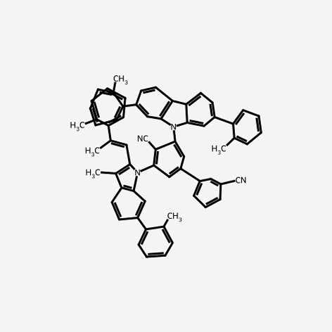 C/C(=C\c1c(C)c2ccc(-c3ccccc3C)cc2n1-c1cc(-c2cccc(C#N)c2)cc(-n2c3cc(-c4ccccc4C)ccc3c3ccc(-c4ccccc4C)cc32)c1C#N)c1ccccc1C